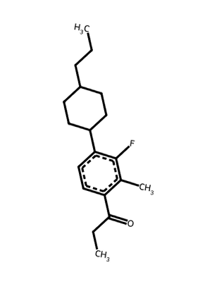 CCCC1CCC(c2ccc(C(=O)CC)c(C)c2F)CC1